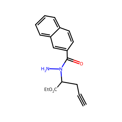 C#CCC(C(=O)OCC)N(N)C(=O)c1ccc2ccccc2c1